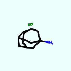 Cl.NC12CC3CCC(CC(C3)C1)C2